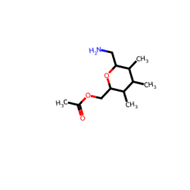 CC(=O)OCC1OC(CN)C(C)C(C)C1C